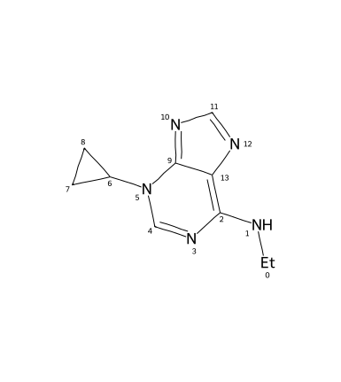 CCNc1ncn(C2CC2)c2ncnc1-2